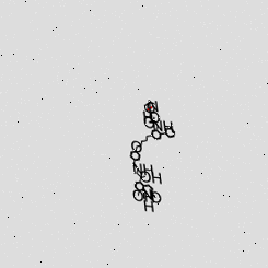 O=C(Nc1cc(CCCCOc2ccc(CNCC(O)c3ccc(O)c4[nH]c(=O)ccc34)cc2)ccc1-c1ccccc1)O[C@H]1CN2CCC1CC2